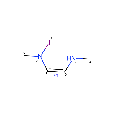 CN/C=C\N(C)I